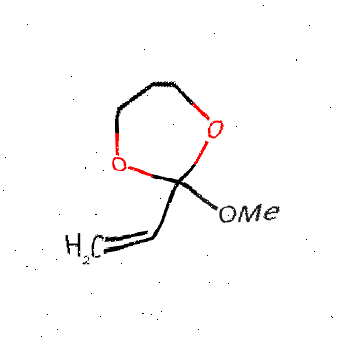 C=CC1(OC)OCCO1